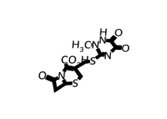 Cn1[nH]c(=O)c(=O)nc1SCC1=C(C(=O)O)N2C(=O)CC2SC1